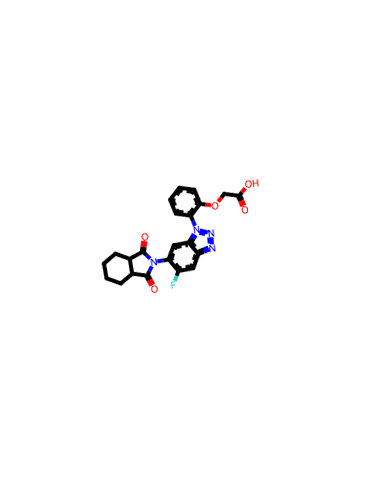 O=C(O)COc1ccccc1-n1nnc2cc(F)c(N3C(=O)C4CCCCC4C3=O)cc21